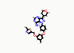 Cc1cc(OCc2cnc(C)s2)cc(Oc2ccc(-n3nc(C4CCOCC4)c4ncnc(N)c43)cc2)c1